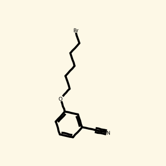 N#Cc1cccc(OCCCCCBr)c1